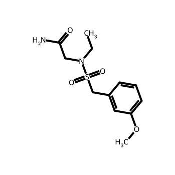 CCN(CC(N)=O)S(=O)(=O)Cc1cccc(OC)c1